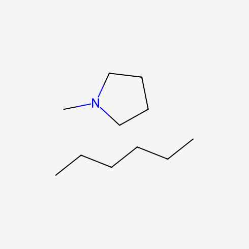 CCCCCC.CN1CCCC1